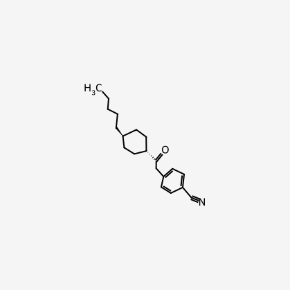 CCCCC[C@H]1CC[C@H](C(=O)Cc2ccc(C#N)cc2)CC1